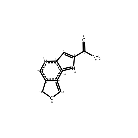 NC(=O)C1=Cc2ncc3c(c2=N1)=COC3